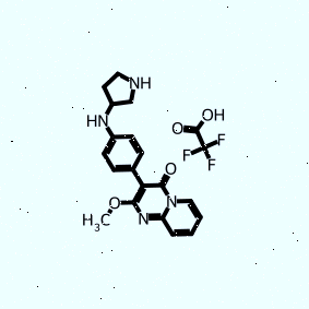 COc1nc2ccccn2c(=O)c1-c1ccc(NC2CCNC2)cc1.O=C(O)C(F)(F)F